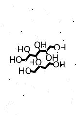 OCCCCO.OC[C@@H](O)[C@@H](O)[C@H](O)[C@@H](O)CO